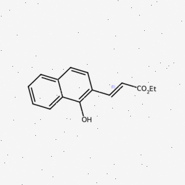 CCOC(=O)/C=C/c1ccc2ccccc2c1O